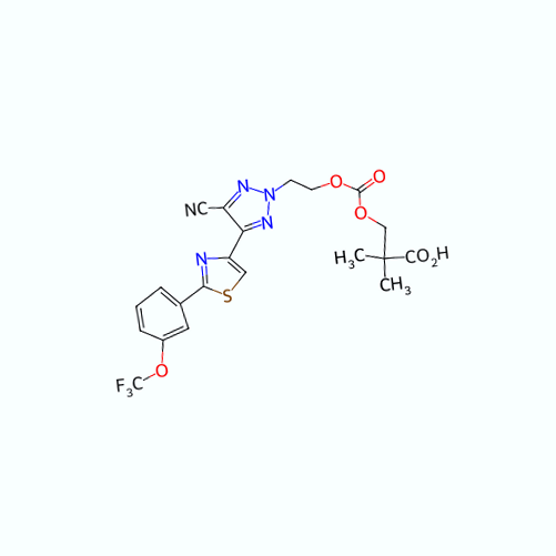 CC(C)(COC(=O)OCCn1nc(C#N)c(-c2csc(-c3cccc(OC(F)(F)F)c3)n2)n1)C(=O)O